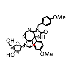 COc1ccc(CN2C(=O)NC3(c4ccc(OC)cc4)C2=NC=Nc2c3ncn2[C@H]2C[C@@H](O)[C@@H](CO)O2)cc1